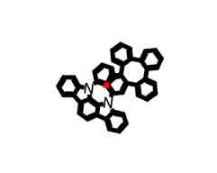 c1ccc(-n2c3ccccc3c3ccc4c5ccccc5n(-c5ccc6c(c5)-c5ccccc5-c5ccccc5-c5ccccc5-6)c4c32)cc1